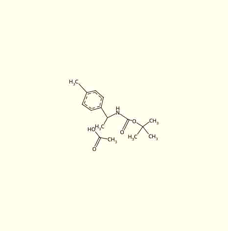 CC(=O)O.Cc1ccc(C(C)NC(=O)OC(C)(C)C)cc1